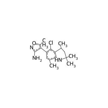 Cc1cc(-c2c(N)noc2C)c(Cl)c2c1NC(C)(C)CC2C